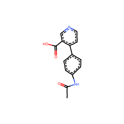 CC(=O)Nc1ccc(-c2ccncc2C(=O)O)cc1